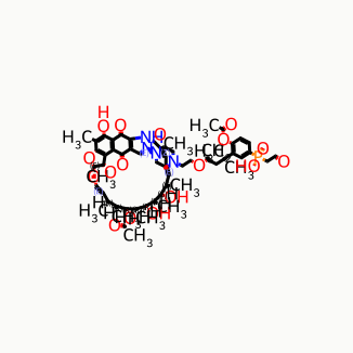 C=C(CC(C)(C)c1cc(P(=O)(O)CC=O)ccc1OC(C)=O)OCCN1CCN(/N=C/C2=C3NC(=O)/C(C)=C\C=C\[C@H](C)[C@H](O)[C@@H](C)[C@@H](O)[C@@H](C)[C@H](OC(C)=O)[C@H](C)[C@@H](C)/C=C/O[C@@]4(C)Oc5c(C)c(O)c(c(c5C4=O)C2=O)C3=O)CC1